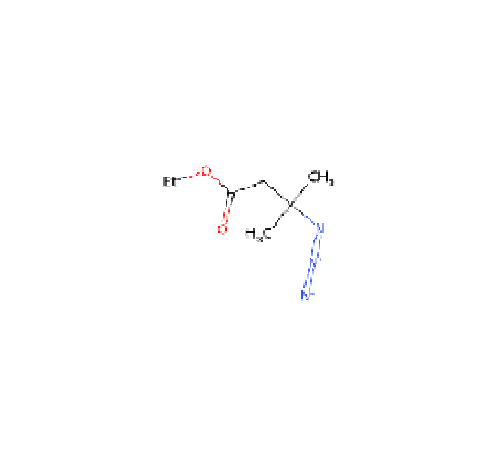 CCOC(=O)CC(C)(C)N=[N+]=[N-]